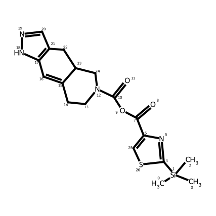 C[Si](C)(C)c1nc(C(=O)OC(=O)N2CCC3=Cc4[nH]ncc4CC3C2)cs1